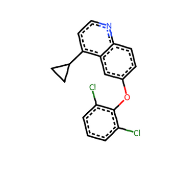 Clc1cccc(Cl)c1Oc1ccc2nccc(C3CC3)c2c1